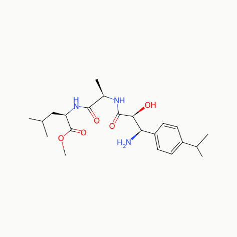 COC(=O)[C@@H](CC(C)C)NC(=O)[C@@H](C)NC(=O)[C@@H](O)[C@H](N)c1ccc(C(C)C)cc1